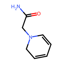 NC(=O)CN1C=CC=CC1